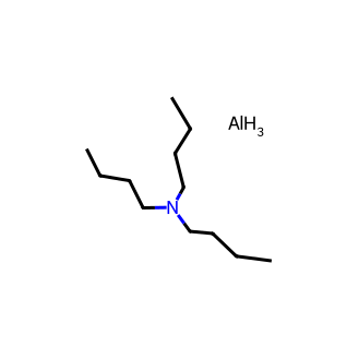 CCCCN(CCCC)CCCC.[AlH3]